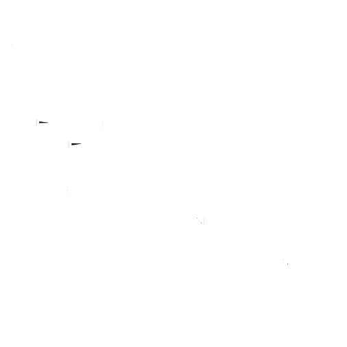 CC(=O)[C@@]1(OC(=O)COC(=O)C(N)Cc2ccc(N(CCCl)CCCl)cc2)CC[C@H]2[C@@H]3CCC4=CC(=O)CC[C@]4(C)[C@H]3CC[C@@]21C